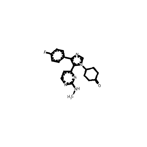 CNc1nccc(-c2c(-c3ccc(F)cc3)ncn2C2CCC(=O)CC2)n1